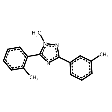 Cc1cccc(-c2nc(-c3ccccc3C)n(C)n2)c1